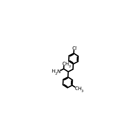 Cc1cccc(C(Cc2ccc(Cl)cc2)C(C)N)c1